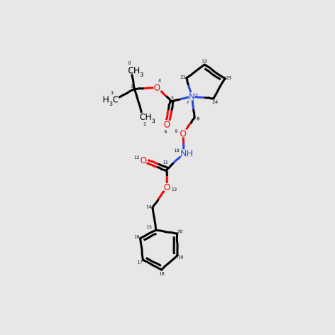 CC(C)(C)OC(=O)[N+]1(CONC(=O)OCc2ccccc2)CC=CC1